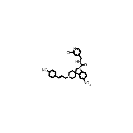 N#Cc1ccc(/C=C/CN2CCC3(CC2)CN(C(=O)NCc2ccnc(Cl)c2)c2ccc([N+](=O)[O-])cc23)cc1